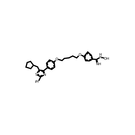 CC(C)c1nc(-c2ccc(OCCCCCOc3ccc(C(=N)NO)cc3)cc2)c(CC2CCCC2)s1